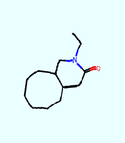 CCN1CC2CCCCCCC23CCCCC3C1=O